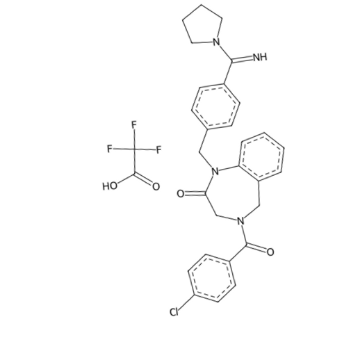 N=C(c1ccc(CN2C(=O)CN(C(=O)c3ccc(Cl)cc3)Cc3ccccc32)cc1)N1CCCC1.O=C(O)C(F)(F)F